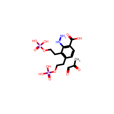 CC(=O)C=O.NNc1c(C(=O)O)ccc(CCOP(=O)(O)O)c1CCOP(=O)(O)O